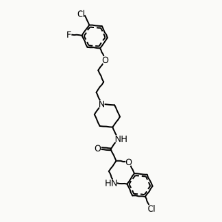 O=C(NC1CCN(CCCOc2ccc(Cl)c(F)c2)CC1)C1CNc2cc(Cl)ccc2O1